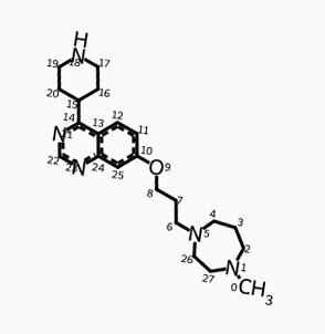 CN1CCCN(CCCOc2ccc3c(C4CCNCC4)ncnc3c2)CC1